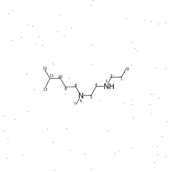 CCCNCCN(C)CCCC(C)C